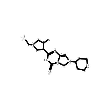 CC1CN(CC(F)(F)F)CC1C1=NC2=CN(C3CCOCC3)CN2C(=O)N1